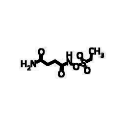 CCS(=O)(=O)ONC(=O)CCC(N)=O